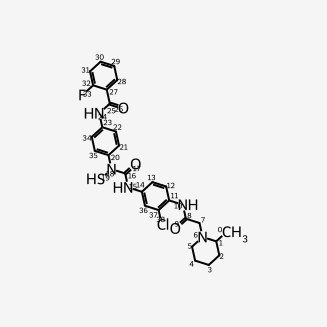 CC1CCCCN1CC(=O)Nc1ccc(NC(=O)N(S)c2ccc(NC(=O)c3ccccc3F)cc2)cc1Cl